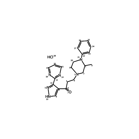 CC1CN(CCC(=O)c2c[nH]nc2-c2ncccn2)CCN1c1ccccc1.Cl